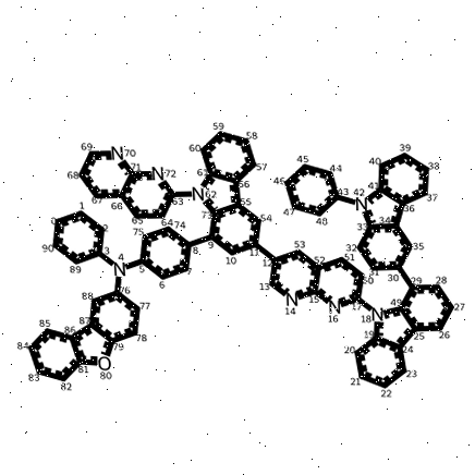 c1ccc(N(c2ccc(-c3cc(-c4cnc5nc(-n6c7ccccc7c7cccc(-c8ccc9c(c8)c8ccccc8n9-c8ccccc8)c76)ccc5c4)cc4c5ccccc5n(-c5ccc6cccnc6n5)c34)cc2)c2ccc3oc4ccccc4c3c2)cc1